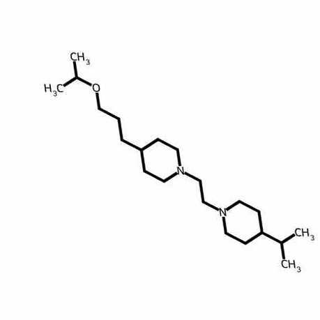 CC(C)OCCCC1CCN(CCN2CCC(C(C)C)CC2)CC1